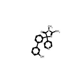 CN1C(=O)C(c2ccncc2)(c2cccc(-c3cccc(O)c3)c2)N=C1N